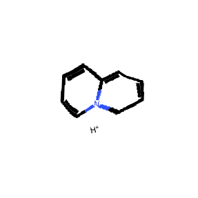 C1=CCN2C=CC=CC2=C1.[H+]